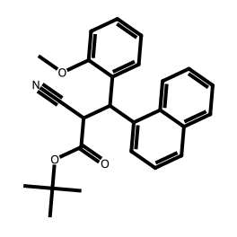 COc1ccccc1C(c1cccc2ccccc12)C(C#N)C(=O)OC(C)(C)C